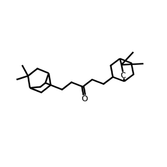 CC1(C)CC2CCC1CC2CCC(=O)CCC1CC2CCC1CC2(C)C